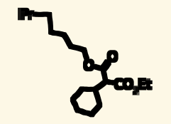 CCOC(=O)C(C(=O)OCCCCCC(C)C)C1CCCCC1